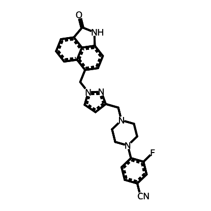 N#Cc1ccc(N2CCN(Cc3ccn(Cc4ccc5c6c(cccc46)C(=O)N5)n3)CC2)c(F)c1